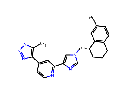 CC(C)c1ccc2c(c1)[C@@H](Cn1cnc(-c3cc(-c4nn[nH]c4C(F)(F)F)ccn3)c1)CCC2